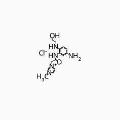 Cn1cc[n+](CC(=O)Nc2cc(N)ccc2NCCO)c1.[Cl-]